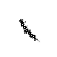 COc1ccc2cc(-c3ccc(-c4ccc(-c5ccc(-c6ccc7cc(OC)ccc7c6)cc5F)c5nsnc45)c(F)c3)ccc2c1